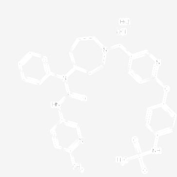 Cc1ccc(NC(=O)N(c2ccccc2)C2CCCN(Cc3ccc(Oc4ccc(NS(C)(=O)=O)cc4)nc3)CC2)cn1.Cl.Cl